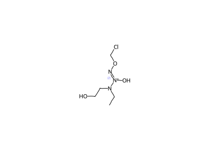 CCN(CCO)/[N+](O)=N/OCCl